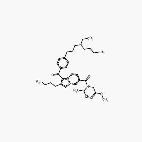 CCCCc1cc2cc(C(=O)N(CC(=O)OC)C(C)C)ccn2c1C(=O)c1ccc(CCCN(CC)CCCC)cc1